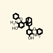 Nc1c(O)ccc(C23CC4CC(C2)CC(c2ccc(O)c(N)c2Oc2ccccc2)(C4)C3)c1Oc1ccccc1